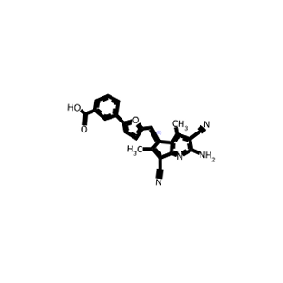 CC1=C(C#N)c2nc(N)c(C#N)c(C)c2/C1=C/c1ccc(-c2cccc(C(=O)O)c2)o1